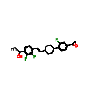 CCCC(O)c1ccc(/C=C/C2CCC(c3ccc(C4CO4)cc3F)CC2)c(F)c1F